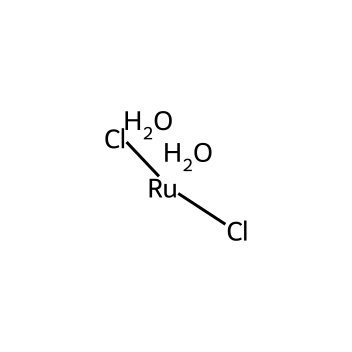 O.O.[Cl][Ru][Cl]